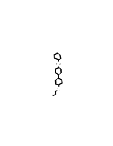 O=C(CCl)Nc1ccc(-c2ccc(S(=O)(=O)c3ccc(Cl)cc3)cc2)cc1